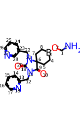 NCOB1CCC2(CC1)C(=O)N(Cc1ccccn1)C(=O)N2Cc1cccnc1